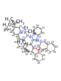 CCC1(C)C([n+]2c(-c3c(C)ccc4c5c(oc34)CCC=C5)n(C3C=C4C=CCCC4=CC3)c3ccccc32)C2=C(CCC(C(C)C)=C2)c2cc(C(C)C)c([Si](C)(C)C)c[n+]21